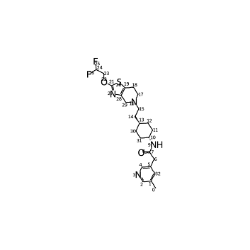 Cc1cncc(CC(=O)N[C@H]2CC[C@H](CCN3CCc4sc(OCC(F)F)nc4C3)CC2)c1